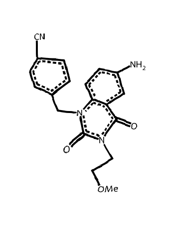 COCCn1c(=O)c2cc(N)ccc2n(Cc2ccc(C#N)cc2)c1=O